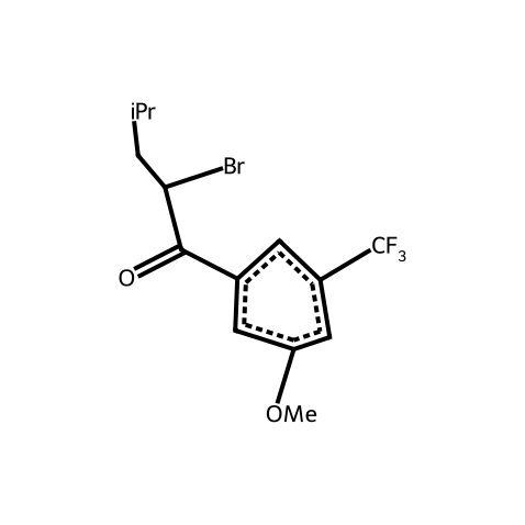 COc1cc(C(=O)C(Br)CC(C)C)cc(C(F)(F)F)c1